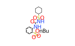 CCCCOS(=O)(=O)c1ccccc1NC(=O)NS(=O)(=O)C1CCCCC1